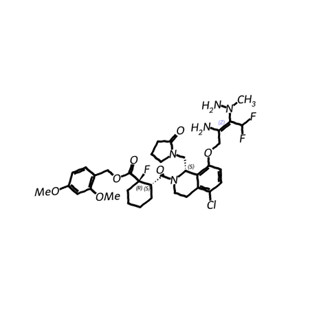 COc1ccc(COC(=O)[C@@]2(F)CCCC[C@H]2C(=O)N2CCc3c(Cl)ccc(OC/C(N)=C(\C(F)F)N(C)N)c3[C@H]2CN2CCCC2=O)c(OC)c1